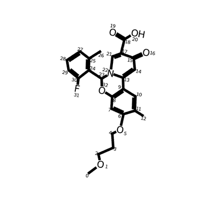 COCCCOc1cc2c(cc1C)-c1cc(=O)c(C(=O)O)cn1C(c1c(C)cccc1F)O2